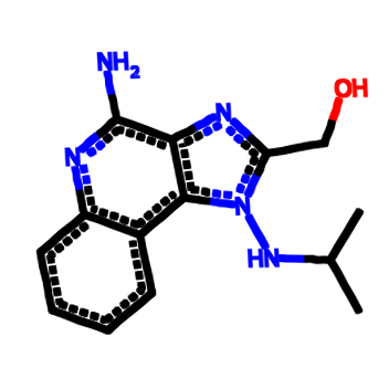 CC(C)Nn1c(CO)nc2c(N)nc3ccccc3c21